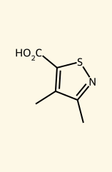 Cc1nsc(C(=O)O)c1C